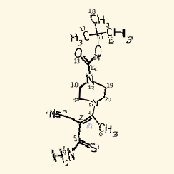 C/C(=C(/C#N)C(N)=S)N1CCN(C(=O)OC(C)(C)C)CC1